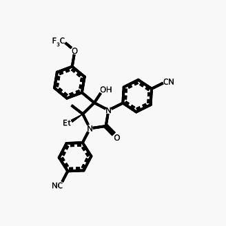 CC[C@]1(C)N(c2ccc(C#N)cc2)C(=O)N(c2ccc(C#N)cc2)C1(O)c1cccc(OC(F)(F)F)c1